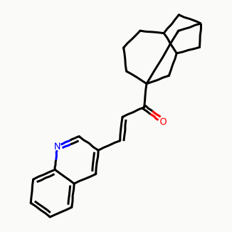 O=C(/C=C/c1cnc2ccccc2c1)C12CCCC3CC(CC3C1)C2